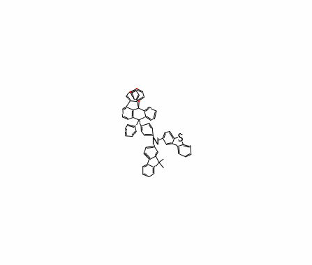 CC1(C)c2ccccc2-c2ccc(N(c3ccc(C4(c5ccccc5)c5ccccc5C5(c6ccccc6)c6ccccc6-c6cccc4c65)cc3)c3ccc4sc5ccccc5c4c3)cc21